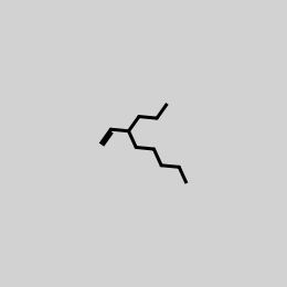 C=CC(CCC)CCCCC